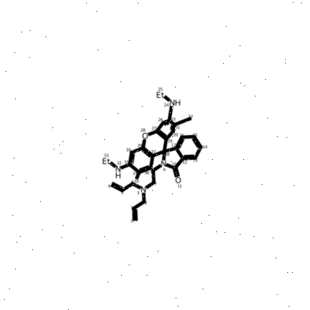 C=CCN(CC=C)CCN1C(=O)c2ccccc2C12c1cc(C)c(NCC)cc1Oc1cc(NCC)c(C)cc12